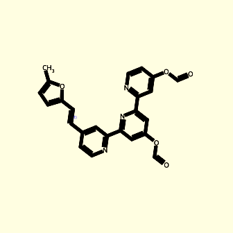 Cc1ccc(/C=C/c2ccnc(-c3cc(OC=O)cc(-c4cc(OC=O)ccn4)n3)c2)o1